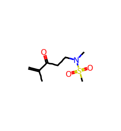 C=C(C)C(=O)CCN(C)S(C)(=O)=O